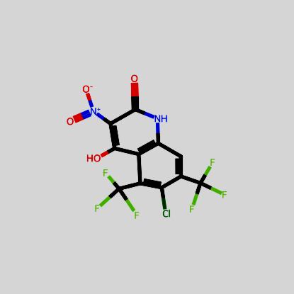 O=c1[nH]c2cc(C(F)(F)F)c(Cl)c(C(F)(F)F)c2c(O)c1[N+](=O)[O-]